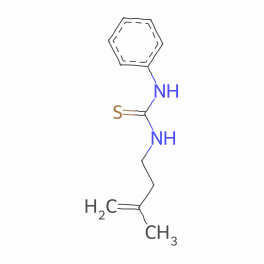 C=C(C)CCNC(=S)Nc1ccccc1